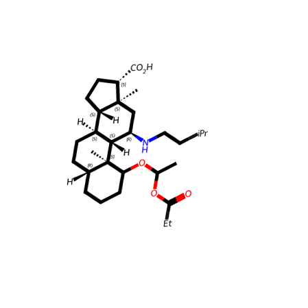 CCC(=O)OC(C)OC1CCC[C@@H]2CC[C@@H]3[C@H]([C@H](NCCC(C)C)C[C@]4(C)[C@@H](C(=O)O)CC[C@@H]34)[C@@]12C